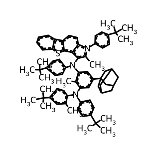 Cc1cc(C(C)(C)C)ccc1N(c1ccc(C(C)(C)C)cc1)c1cc(C23CC4CC(CC(C4)C2)C3)cc(N(c2ccc(C(C)(C)C)cc2)c2c(C)n(-c3ccc(C(C)(C)C)cc3)c3ccc4c5ccccc5sc4c23)c1C